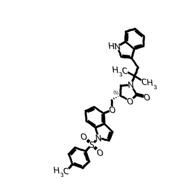 Cc1ccc(S(=O)(=O)n2ccc3c(OC[C@@H]4CN(C(C)(C)Cc5c[nH]c6ccccc56)C(=O)O4)cccc32)cc1